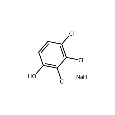 Oc1ccc(Cl)c(Cl)c1Cl.[NaH]